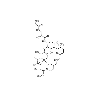 CN(C(=O)OC(C)(C)C)[C@@H]1[C@@H](O)[C@@H](O[C@@H]2[C@@H](O)[C@H](C3OC(CNCC4CCN(C(=O)OC(C)(C)C)CC4)=CC[C@H]3N)[C@@H](N)C[C@H]2NC(=O)[C@@H](O)CNC(=O)OC(C)(C)C)OC[C@]1(C)O